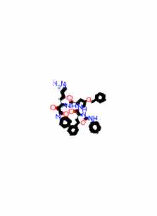 NCCCC[C@H](NC(=O)[C@@H]1C[C@@H](OCc2ccccc2)CN1C(=O)[C@@H](CCc1ccccc1)NC(=O)Nc1ccccc1)C(=O)c1nc2ccccc2o1